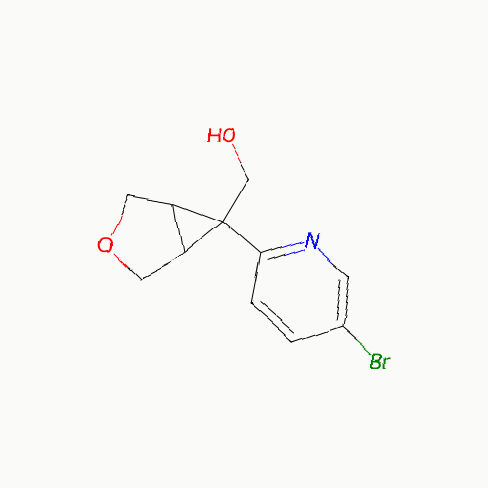 OCC1(c2ccc(Br)cn2)C2COCC21